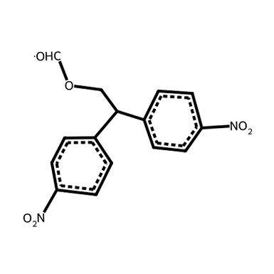 O=[C]OCC(c1ccc([N+](=O)[O-])cc1)c1ccc([N+](=O)[O-])cc1